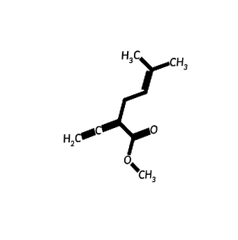 C=C=C(CC=C(C)C)C(=O)OC